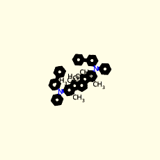 Cc1cc(N(C2=CC(c3ccccc3)=CCC2)c2ccccc2)cc2c1-c1ccc3c(c1C2(C)C)C(C)(C)c1cc(N(c2ccccc2)c2cccc(-c4ccccc4)c2)cc(C)c1-3